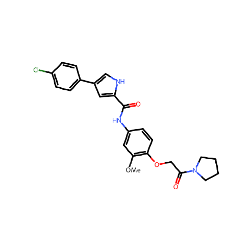 COc1cc(NC(=O)c2cc(-c3ccc(Cl)cc3)c[nH]2)ccc1OCC(=O)N1CCCC1